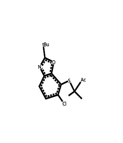 CC(=O)C(C)(C)Sc1c(Cl)ccc2nc(C(C)(C)C)oc12